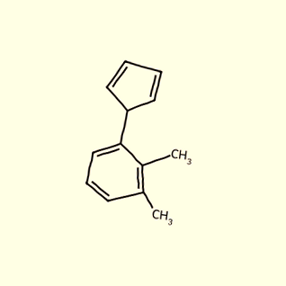 Cc1cccc(C2C=CC=C2)c1C